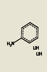 Nc1ccccc1.[LiH].[LiH]